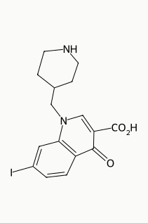 O=C(O)c1cn(CC2CCNCC2)c2cc(I)ccc2c1=O